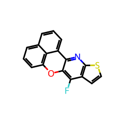 Fc1c2c(nc3sccc13)-c1cccc3cccc(c13)O2